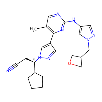 Cc1cnc(Nc2cnn(CC3COC3)c2)nc1-c1cnn([C@H](CC#N)C2CCCC2)c1